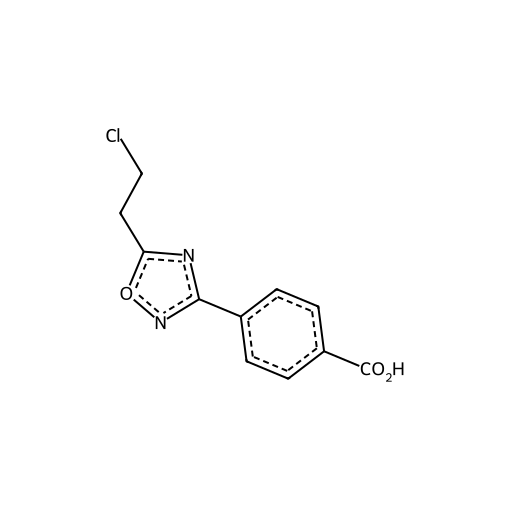 O=C(O)c1ccc(-c2noc(CCCl)n2)cc1